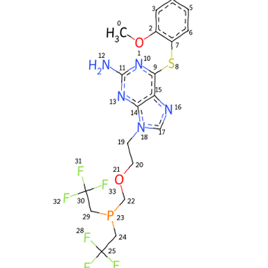 COc1ccccc1Sc1nc(N)nc2c1ncn2CCOCP(CC(F)(F)F)CC(F)(F)F